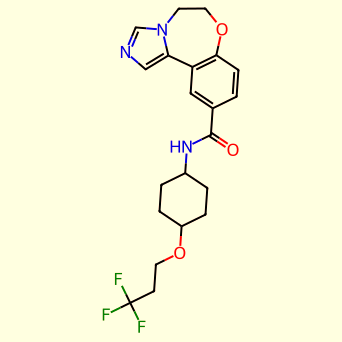 O=C(NC1CCC(OCCC(F)(F)F)CC1)c1ccc2c(c1)-c1cncn1CCO2